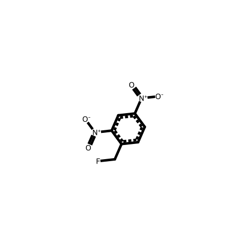 O=[N+]([O-])c1ccc(CF)c([N+](=O)[O-])c1